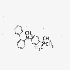 CN(c1ccc([Si](C)(C)C)cc1)c1ccccc1-c1ccccc1